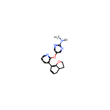 CCN(C)c1ncc(Oc2ncccc2C2=C3OCCC3CC=C2)cn1